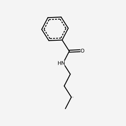 C[CH]CCNC(=O)c1ccccc1